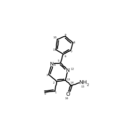 C=Cc1cnc(-c2ccccc2)nc1C(N)=O